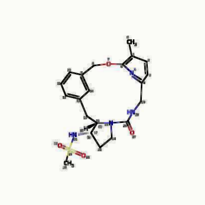 Cc1ccc2nc1OCc1cccc(c1)C[C@H]1[C@@H](NS(C)(=O)=O)CCN1C(=O)NC2